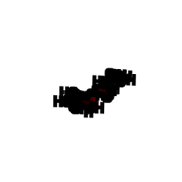 O=C(O)CC[C@H](NC(=O)N[C@@H](CCCCNC(=O)CCCCC[C@H](CC(=O)c1ccc([N+](=O)[O-])cc1[N+](=O)[O-])C(=O)NCCCC/C(=N/C(=O)[C@@H](Cc1ccccc1)NC(=O)/C(Cc1ccc(O)c(I)c1)=N/C(=O)CCC(C(=O)O)N1CCN(CC(=O)O)CCN(CC(=O)O)CCN(CC(=O)O)CC1)C(=O)O)C(=O)O)C(=O)O